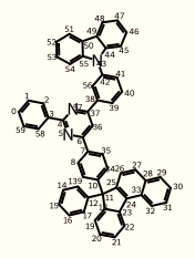 c1ccc(-c2nc(-c3ccc(C4(c5ccccc5)c5ccccc5-c5c4ccc4ccccc54)cc3)cc(-c3cccc(-n4c5ccccc5c5ccccc54)c3)n2)cc1